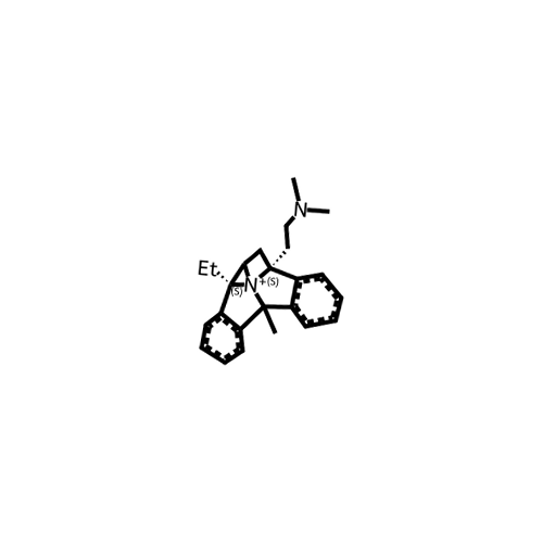 CC[C@]12c3ccccc3C3(C)c4ccccc4[C@]4(CCN(C)C)CC1[N+]342